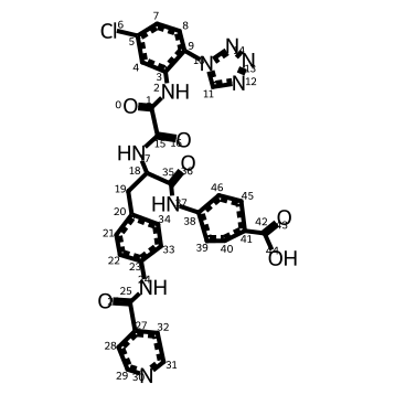 O=C(Nc1cc(Cl)ccc1-n1cnnn1)C(=O)NC(Cc1ccc(NC(=O)c2ccncc2)cc1)C(=O)Nc1ccc(C(=O)O)cc1